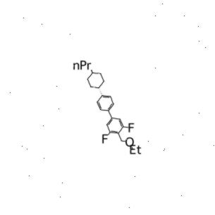 CCC[C@H]1CC[C@H](c2ccc(-c3cc(F)c(COCC)c(F)c3)cc2)CC1